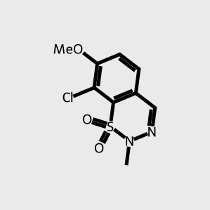 COc1ccc2c(c1Cl)S(=O)(=O)N(C)N=C2